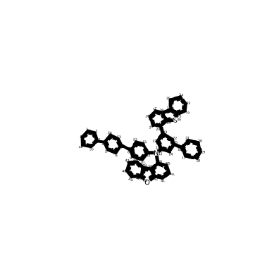 c1ccc(-c2ccc(-c3ccc(N(c4cc(-c5ccccc5)cc(-c5cccc6c5sc5ccccc56)c4)c4cccc5oc6ccccc6c45)cc3)cc2)cc1